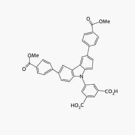 COC(=O)c1ccc(-c2ccc3c(c2)c2cc(-c4ccc(C(=O)OC)cc4)ccc2n3-c2cc(C(=O)O)cc(C(=O)O)c2)cc1